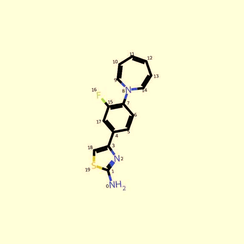 Nc1nc(-c2ccc(N3C=CC=CC=C3)c(F)c2)cs1